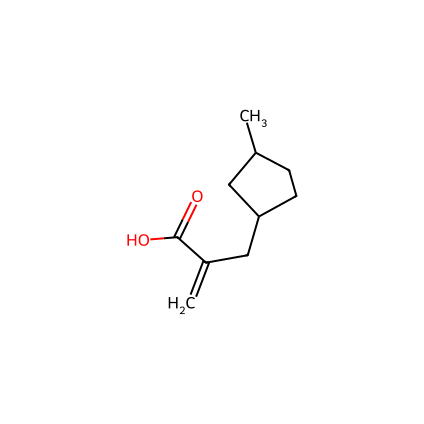 C=C(CC1CCC(C)C1)C(=O)O